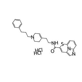 Cl.Cl.O=C(NCCC1=CCN(CCCc2ccccc2)CC1)C1=Cc2cnc3cccc(n23)S1